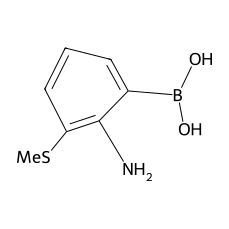 CSc1cccc(B(O)O)c1N